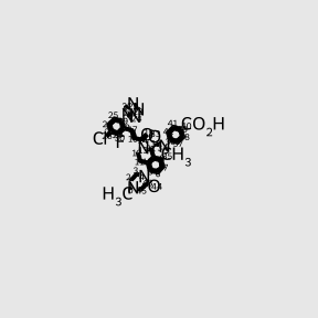 CN1CCN(c2cccc3c2CCN(C(=O)/C=C/c2c(-n4cnnn4)ccc(Cl)c2F)[C@H]3C(=O)N(C)c2ccc(C(=O)O)cc2)C(=O)C1